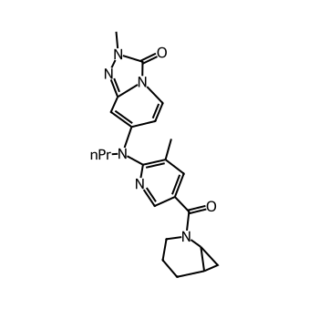 CCCN(c1ccn2c(=O)n(C)nc2c1)c1ncc(C(=O)N2CCCC3CC32)cc1C